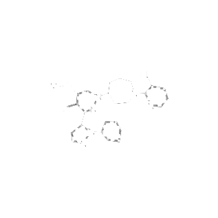 COc1cn(C2CCCN(c3ncccc3Cl)CC2)nc(-c2ccnn2-c2ccccc2)c1=O